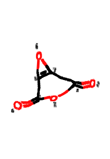 O=c1oc(=O)c2oc1=2